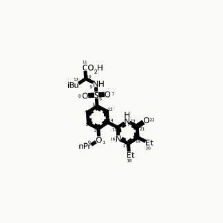 CCCOc1ccc(S(=O)(=O)NC(C(=O)O)C(C)CC)cc1-c1nc(CC)c(CC)c(=O)[nH]1